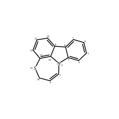 C1=Cn2c3ccccc3c3cccc(c32)SC1